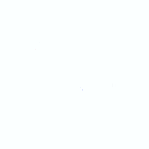 CCC1CCCCN1CCOCCOC